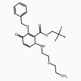 CCCOCCNn1ccc(=O)c(OCc2ccccc2)c1C(=O)OCC(F)(F)F